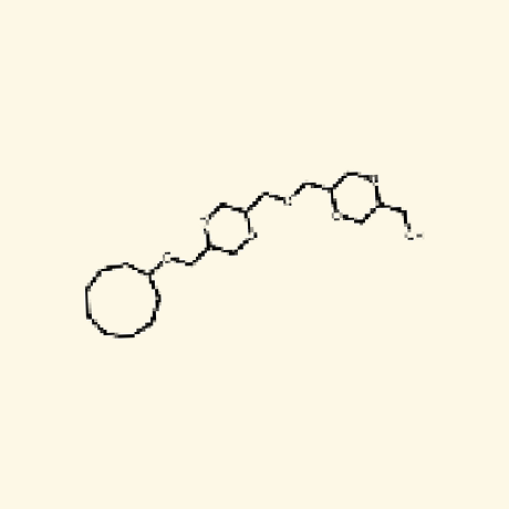 OCC1COC(COCC2COC(COC3CCCCCCCC3)CO2)CO1